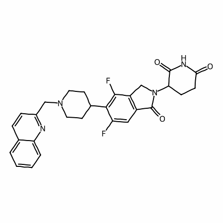 O=C1CCC(N2Cc3c(cc(F)c(C4CCN(Cc5ccc6ccccc6n5)CC4)c3F)C2=O)C(=O)N1